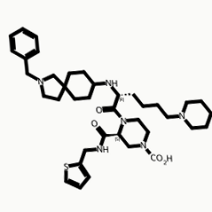 O=C(NCc1cccs1)[C@@H]1CN(C(=O)O)CCN1C(=O)[C@@H](CCCCN1CCCCC1)NC1CCC2(CC1)CCN(Cc1ccccc1)C2